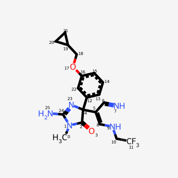 CN1C(=O)C(/C(C=N)=C/NCC(F)(F)F)(c2cccc(OCC3CC3)c2)N=C1N